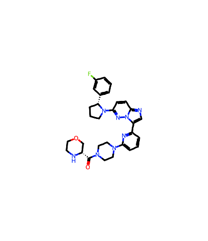 O=C([C@H]1COCCN1)N1CCN(c2cccc(-c3cnc4ccc(N5CCC[C@@H]5c5cccc(F)c5)nn34)n2)CC1